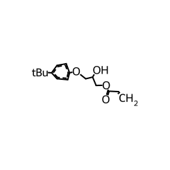 C=CC(=O)OCC(O)COc1ccc(C(C)(C)C)cc1